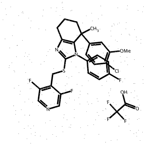 COc1cc(C2(C)CCCc3nc(SCc4c(F)cncc4F)n(-c4ccc(F)cc4)c32)ccc1Cl.O=C(O)C(F)(F)F